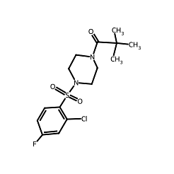 CC(C)(C)C(=O)N1CCN(S(=O)(=O)c2ccc(F)cc2Cl)CC1